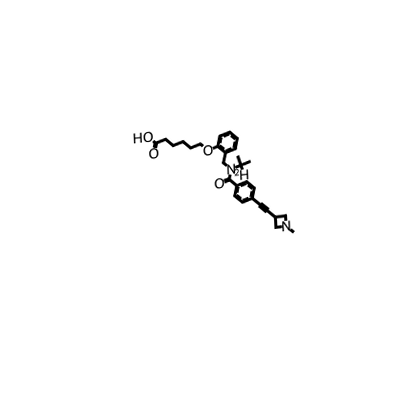 [2H]C(C)(C)N(Cc1ccccc1OCCCCCC(=O)O)C(=O)c1ccc(C#CC2CN(C)C2)cc1